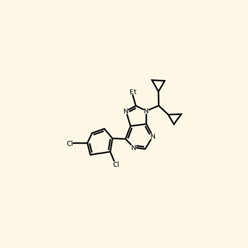 CCc1nc2c(-c3ccc(Cl)cc3Cl)ncnc2n1C(C1CC1)C1CC1